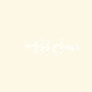 CCOC(=O)C(F)(F)CC(I)C(F)(F)C(F)(F)C(F)(F)C(F)(F)F